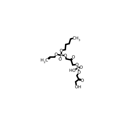 C=CCOP(=O)(OCCCCC)OCC(=O)COP(=O)(O)OCC(=O)CO